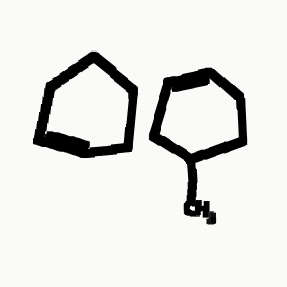 C1=CCCCC1.CC1CC=CCC1